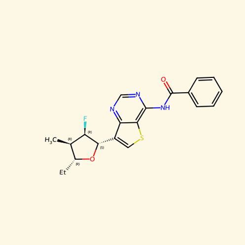 CC[C@H]1O[C@@H](c2csc3c(NC(=O)c4ccccc4)ncnc23)[C@H](F)[C@@H]1C